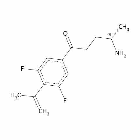 C=C(C)c1c(F)cc(C(=O)CC[C@H](C)N)cc1F